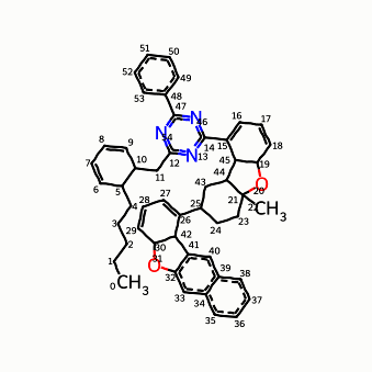 CCCCCC1C=CC=CC1Cc1nc(C2=CC=CC3OC4(C)CCC(C5=CC=CC6Oc7cc8ccccc8cc7C56)CC4C23)nc(-c2ccccc2)n1